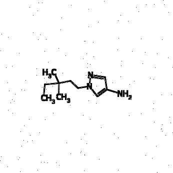 CCC(C)(C)CCn1cc(N)cn1